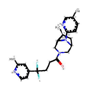 COc1cc(C(F)(F)CCC(=O)N2CC3C[C@H](C)C(C2)N3c2ccc(C#N)cn2)ccn1